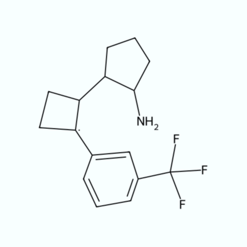 NC1CCCC1C1CC[C]1c1cccc(C(F)(F)F)c1